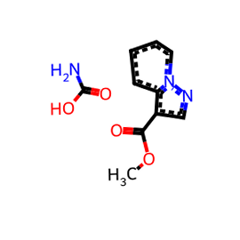 COC(=O)c1cnn2ccccc12.NC(=O)O